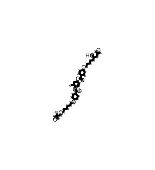 Cc1cc(OC(=O)C2CCC(OCCCCCC(O)CC3COC3)CC2)ccc1OC(=O)C1CCC(OCCCCCCOCC2(C)COC2)CC1